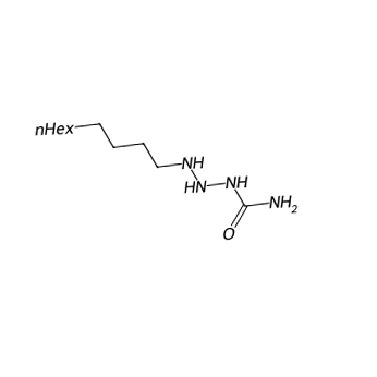 CCCCCCCCCCNNNC(N)=O